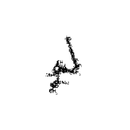 C/C=C/C1=CN2C(=O)c3cc(OC)c(OCCCOc4cc5c(cc4OC)C(=O)CC/C=C(/C=C/C)C[C@H](C)[C@H](O)N5C(=O)OCc4ccc(CCCC(=O)[C@H](C)CCCC(=O)[C@@H](CCCC(=O)CCOCCOCCOCCOCCCCCC(=O)CI)C(C)C)cc4)cc3C/C=C/[C@@H]2C1